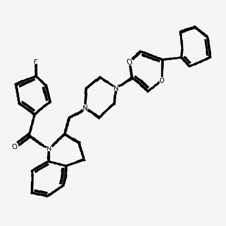 O=C(c1ccc(F)cc1)N1c2ccccc2CCC1CN1CCN(C2=COC(C3=CC=CCC3)=CO2)CC1